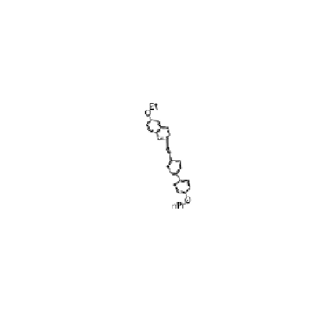 CCCOc1ccc(-c2ccc(C#Cc3ccc4cc(OCC)ccc4c3)cc2)cc1